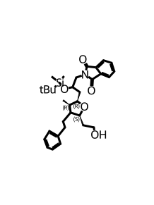 C[C@@H]1C(CCc2ccccc2)[C@H](CCO)O[C@@H]1CC(CN1C(=O)c2ccccc2C1=O)O[Si](C)(C)C(C)(C)C